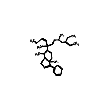 CC/C=C\C(C)(CCC(C)CC(CC)CC)C1CCC2(C)C(c3cccnc3)=CCC2C1C